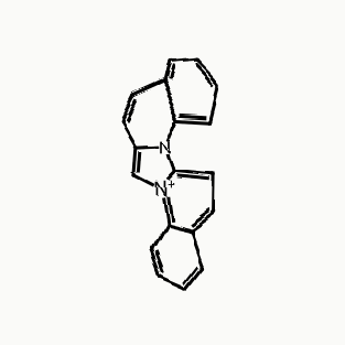 c1ccc2c(c1)ccc1c[n+]3c4ccccc4ccc3n12